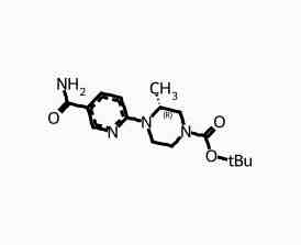 C[C@@H]1CN(C(=O)OC(C)(C)C)CCN1c1ccc(C(N)=O)cn1